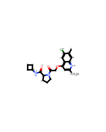 CCOC(=O)c1cc(OCC(=O)N2CCCC2C(=O)NC2CCC2)c2cc(Cl)c(C)cc2n1